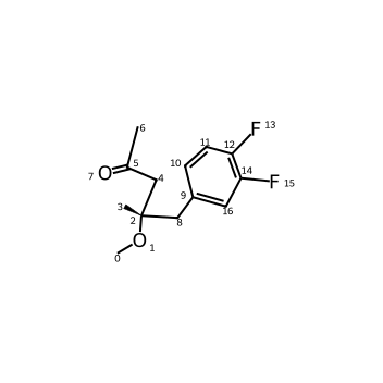 CO[C@](C)(CC(C)=O)Cc1ccc(F)c(F)c1